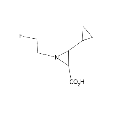 O=C(O)C1C(C2CC2)N1CCF